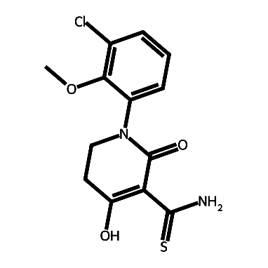 COc1c(Cl)cccc1N1CCC(O)=C(C(N)=S)C1=O